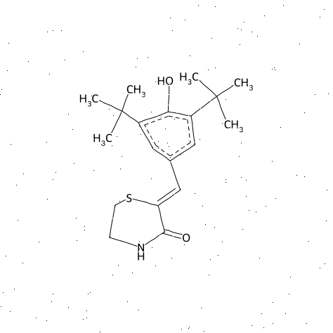 CC(C)(C)c1cc(C=C2SCCNC2=O)cc(C(C)(C)C)c1O